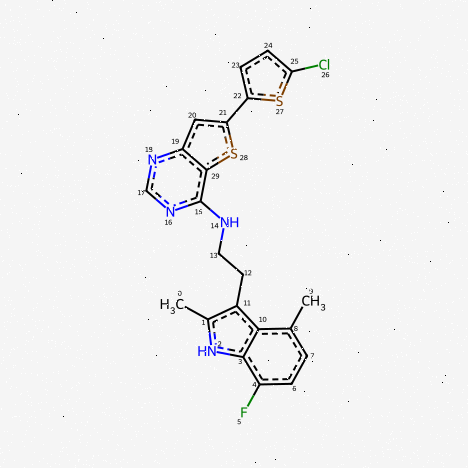 Cc1[nH]c2c(F)ccc(C)c2c1CCNc1ncnc2cc(-c3ccc(Cl)s3)sc12